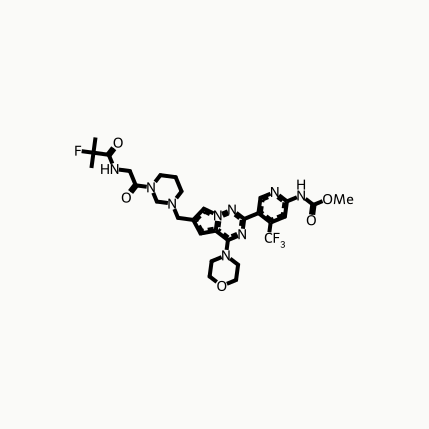 COC(=O)Nc1cc(C(F)(F)F)c(-c2nc(N3CCOCC3)c3cc(CN4CCCN(C(=O)CNC(=O)C(C)(C)F)C4)cn3n2)cn1